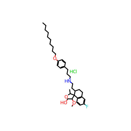 CCCCCCCCCCOc1ccc(CCCNCCC2CCc3cc(F)ccc3C2(C(C)C)C(OC)C(=O)O)cc1.Cl